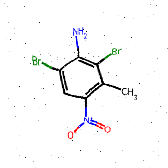 Cc1c([N+](=O)[O-])cc(Br)c(N)c1Br